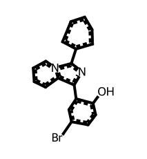 Oc1ccc(Br)cc1-c1nc(-c2ccccc2)n2ccccc12